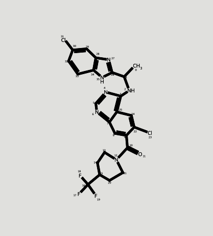 CC(Nc1ncnc2cc(C(=O)N3CCC(C(F)(F)F)CC3)c(Cl)cc12)c1nc2cc(Cl)ccc2[nH]1